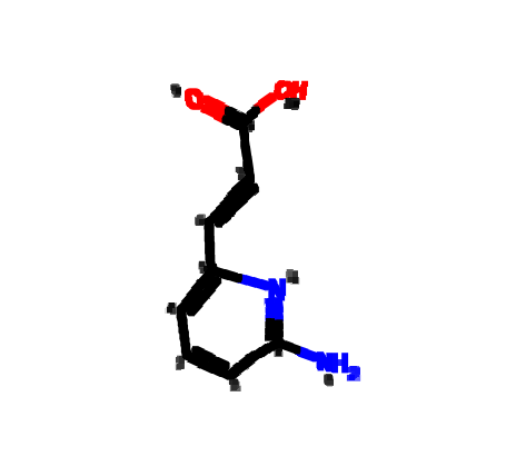 Nc1cccc(C=CC(=O)O)n1